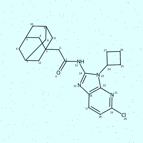 O=C(CC12CC3CC(CC(C3)C1)C2)Nc1nc2ccc(Cl)nc2n1C1CCC1